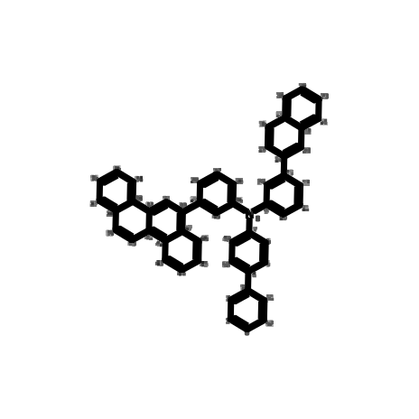 c1ccc(-c2ccc(N(c3cccc(-c4ccc5ccccc5c4)c3)c3cccc(-c4cc5c6ccccc6ccc5c5ccccc45)c3)cc2)cc1